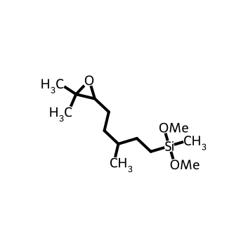 CO[Si](C)(CCC(C)CCC1OC1(C)C)OC